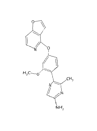 COc1cc(Oc2nccc3occc23)ccc1-c1ncc(N)nc1C